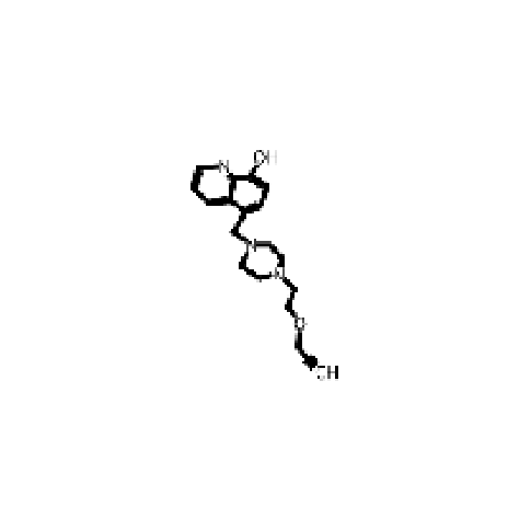 C#CCOCCN1CCN(Cc2ccc(O)c3ncccc23)CC1